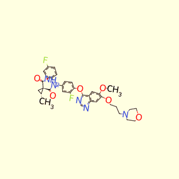 COc1cc2c(Oc3ccc(N(C(=O)[C@]4(C(N)=O)C[C@H]4C)c4ccc(F)cc4)cc3F)ncnc2cc1OCCCN1CCOCC1